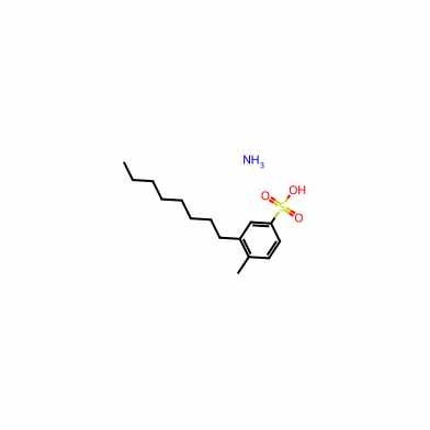 CCCCCCCCc1cc(S(=O)(=O)O)ccc1C.N